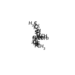 CC1CCC(c2nc3cc(C(C)(C)O)c(NC(=O)c4cccc(C(C)(F)F)n4)cc3s2)CC1